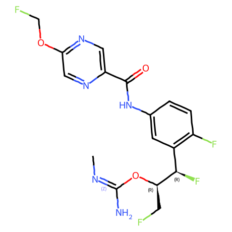 C/N=C(/N)O[C@H](CF)[C@H](F)c1cc(NC(=O)c2cnc(OCF)cn2)ccc1F